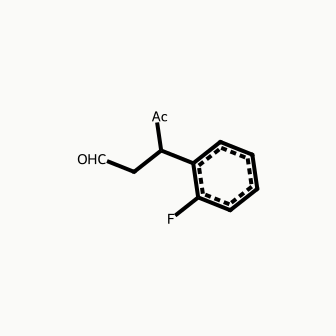 CC(=O)C(CC=O)c1ccccc1F